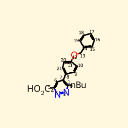 CCCCc1nnc(C(=O)O)cc1-c1ccc(OCc2ccccc2)cc1